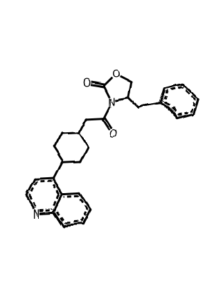 O=C(CC1CCC(c2ccnc3ccccc23)CC1)N1C(=O)OCC1Cc1ccccc1